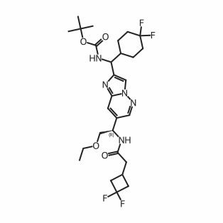 CCOC[C@H](NC(=O)CC1CC(F)(F)C1)c1cnn2cc(C(NC(=O)OC(C)(C)C)C3CCC(F)(F)CC3)nc2c1